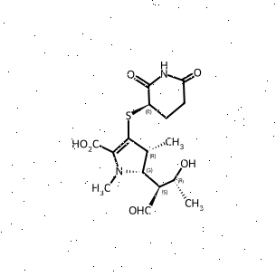 C[C@@H](O)[C@@H](C=O)[C@H]1[C@@H](C)C(S[C@@H]2CCC(=O)NC2=O)=C(C(=O)O)N1C